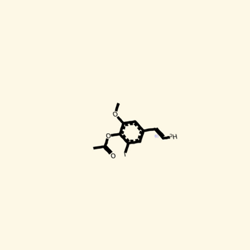 [2H]/C=C/c1cc(I)c(OC(C)=O)c(OC)c1